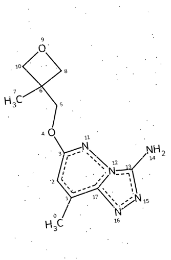 Cc1cc(OCC2(C)COC2)nn2c(N)nnc12